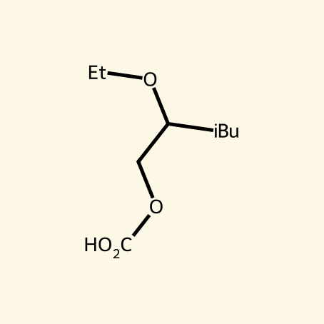 CCOC(COC(=O)O)C(C)CC